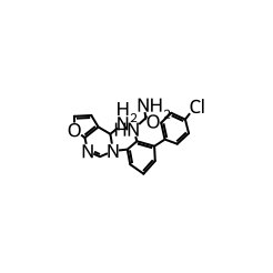 NC(=O)Nc1c(-c2ccc(Cl)cc2)cccc1N1C=Nc2occc2C1N